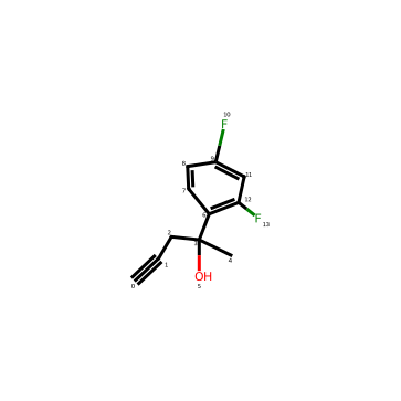 C#CCC(C)(O)c1ccc(F)cc1F